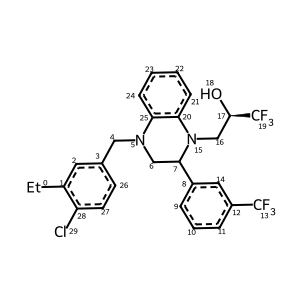 CCc1cc(CN2CC(c3cccc(C(F)(F)F)c3)N(C[C@@H](O)C(F)(F)F)c3ccccc32)ccc1Cl